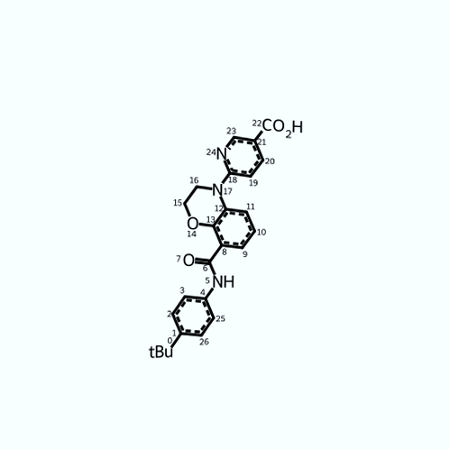 CC(C)(C)c1ccc(NC(=O)c2cccc3c2OCCN3c2ccc(C(=O)O)cn2)cc1